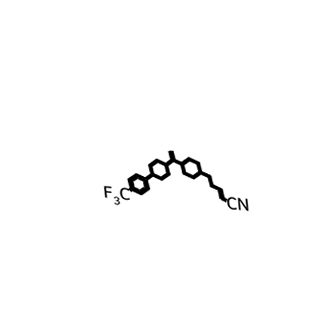 C=C(C1CCC(CCC=CC#N)CC1)C1CCC(c2ccc(C(F)(F)F)cc2)CC1